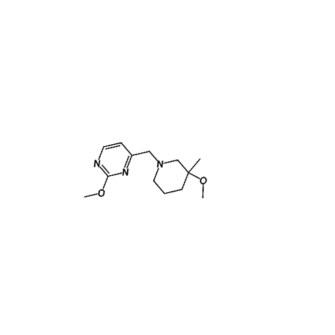 COc1nccc(CN2CCCC(C)(OC)C2)n1